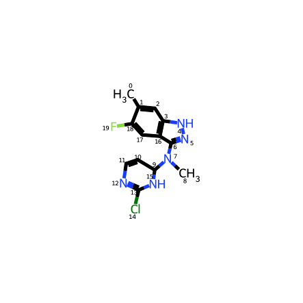 Cc1cc2[nH]nc(N(C)C3C=CN=C(Cl)N3)c2cc1F